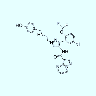 O=C(Nc1cn(CCNCc2ccc(O)cc2)nc1-c1cc(Cl)ccc1OC(F)F)c1cnn2cccnc12